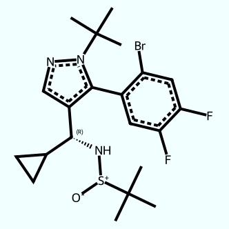 CC(C)(C)n1ncc([C@H](N[S+]([O-])C(C)(C)C)C2CC2)c1-c1cc(F)c(F)cc1Br